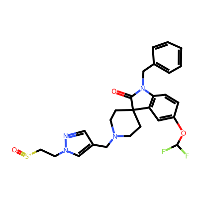 O=[S+]CCn1cc(CN2CCC3(CC2)C(=O)N(Cc2ccccc2)c2ccc(OC(F)F)cc23)cn1